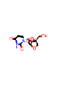 O=c1ccn([C@@H]2O[C@]3(CO)COC2[C@H]3O)c(=O)[nH]1